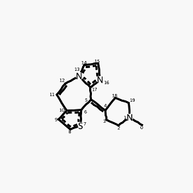 CN1CCC(=C2c3sccc3C=Cn3ccnc32)CC1